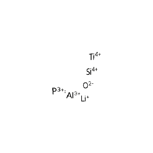 [Al+3].[Li+].[O-2].[P+3].[Si+4].[Ti+4]